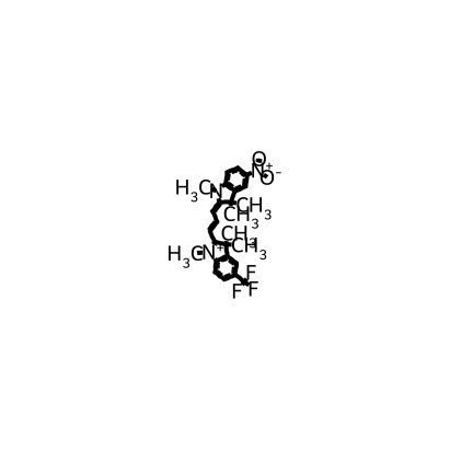 CN1/C(=C/C=C/C2=[N+](C)c3ccc(C(F)(F)F)cc3C2(C)C)C(C)(C)c2cc([N+](=O)[O-])ccc21